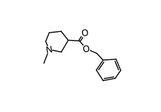 CN1CCCC(C(=O)OCc2ccccc2)C1